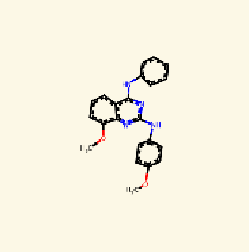 COc1ccc(Nc2nc(Nc3ccccc3)c3cccc(OC)c3n2)cc1